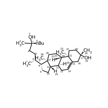 CCCC[C@@](C)(O)CC[C@@H](C)[C@H]1CC[C@H]2[C@@H]3CC=C4C[C@@](C)(O)CC[C@]4(C)[C@H]3CC[C@]12C